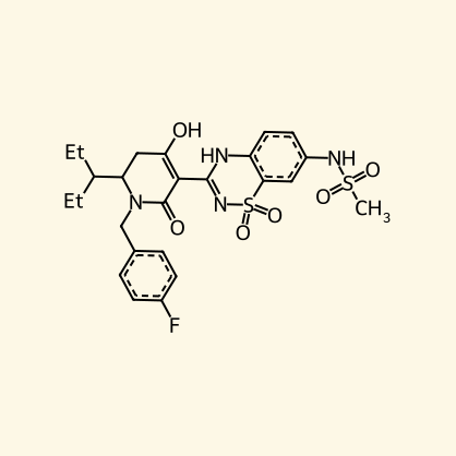 CCC(CC)C1CC(O)=C(C2=NS(=O)(=O)c3cc(NS(C)(=O)=O)ccc3N2)C(=O)N1Cc1ccc(F)cc1